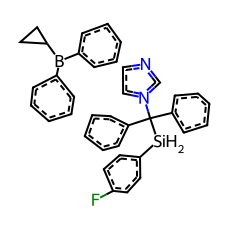 Fc1ccc([SiH2]C(c2ccccc2)(c2ccccc2)n2ccnc2)cc1.c1ccc(B(c2ccccc2)C2CC2)cc1